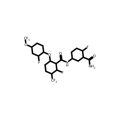 NC(=O)C1CC(NC(=O)C2C(OC3CCC(OC(F)(F)F)CC3F)CCC(C(F)(F)F)C2F)CCC1F